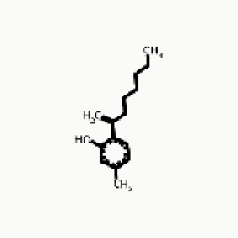 C=C(CCCCCC)c1ccc(C)cc1O